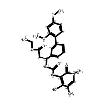 CCOC(=O)C[C@H](NC(=O)Nc1c(O)c(C)cn(C)c1=O)c1cccc(-c2ccc(OC)cc2OC)c1